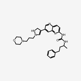 CC(CCc1ccccc1)NC(=O)Nc1ccc2ncc(C3=CN(CCCN4CCOCC4)NC3)cc2n1